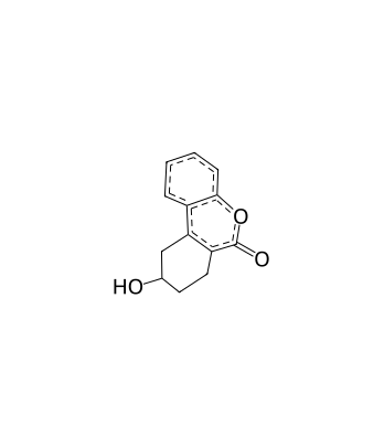 O=c1oc2ccccc2c2c1CCC(O)C2